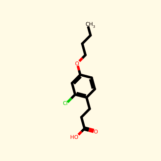 CCCCOc1ccc(CCC(=O)O)c(Cl)c1